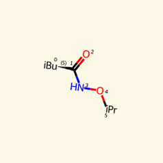 CC[C@H](C)C(=O)NOC(C)C